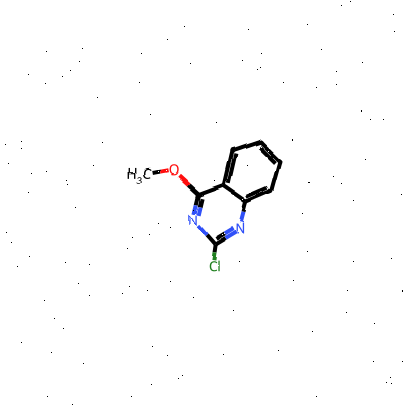 COc1nc(Cl)nc2ccccc12